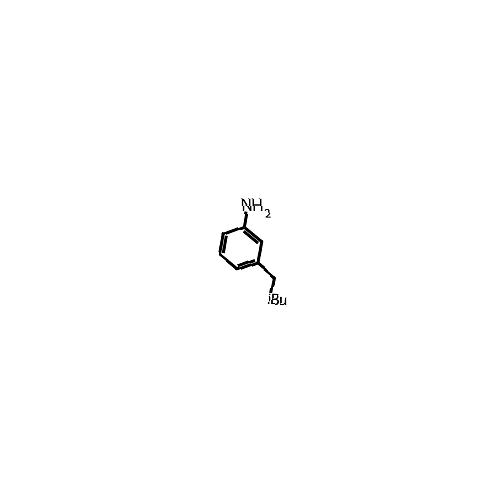 C[CH]C(C)Cc1cccc(N)c1